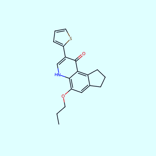 CCCOc1cc2c(c3c(=O)c(-c4cccs4)c[nH]c13)CCC2